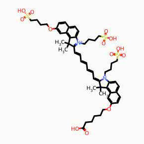 CC1(C)C(/C=C/C=C/C=C/C=C2\N(CCCCS(=O)(=O)O)c3ccc4ccc(OCCCCCC(=O)O)cc4c3C2(C)C)=[N+](CCCCS(=O)(=O)O)c2ccc3ccc(OCCCCS(=O)(=O)O)cc3c21